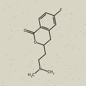 CN(C)CCC1Cc2cc(F)ccc2C(=O)O1